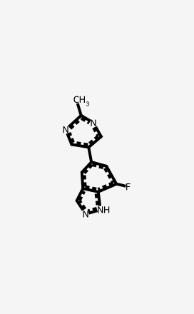 Cc1ncc(-c2cc(F)c3[nH]ncc3c2)cn1